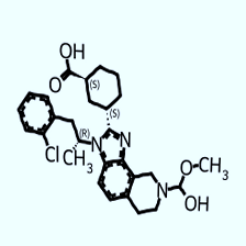 COC(O)N1CCc2ccc3c(nc([C@H]4CCC[C@H](C(=O)O)C4)n3[C@H](C)Cc3ccccc3Cl)c2C1